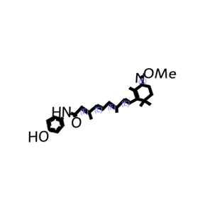 CO/N=C1\CCC(C)(C)C(/C=C/C(C)=C/C=C/C(C)=C/C(=O)Nc2ccc(O)cc2)=C1C